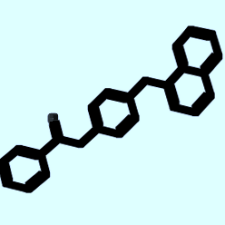 O=C(Cc1ccc(Cc2cccc3ccccc23)cc1)c1ccccc1